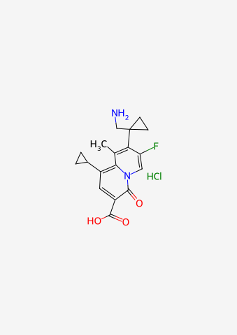 Cc1c(C2(CN)CC2)c(F)cn2c(=O)c(C(=O)O)cc(C3CC3)c12.Cl